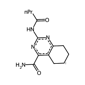 CCCC(=O)Nc1nc2c(c(C(N)=O)n1)C[C]CC2